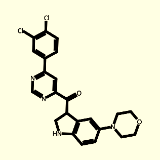 O=C(c1cc(-c2ccc(Cl)c(Cl)c2)ncn1)C1CNc2ccc(N3CCOCC3)cc21